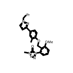 COc1cccc(-n2nnn(C)c2=O)c1COc1ccc(-c2ccn(CC(C)C)n2)cc1C